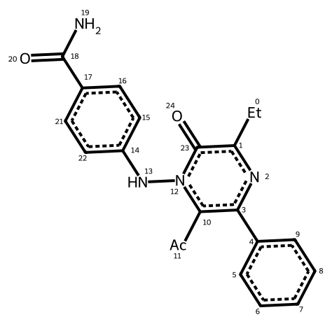 CCc1nc(-c2ccccc2)c(C(C)=O)n(Nc2ccc(C(N)=O)cc2)c1=O